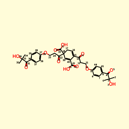 CC(C)(O)C(=O)c1ccc(OCCC(=O)C2=CCC(C(=O)O)(C(=O)CCOc3ccc(C(=O)C(C)(C)O)cc3)C=C2C(=O)O)cc1